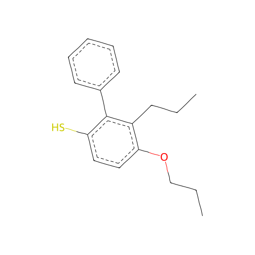 CCCOc1ccc(S)c(-c2ccccc2)c1CCC